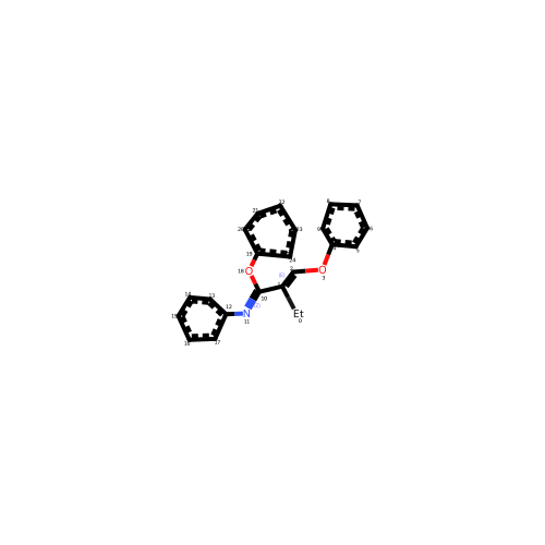 CCC(=C\Oc1ccccc1)/C(=N/c1ccccc1)Oc1ccccc1